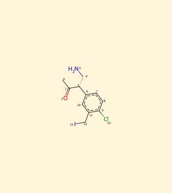 CC(=O)[C@H](CN)c1ccc(Cl)c(CI)c1